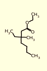 CCCCC(C)(CC)CC(=O)OCC